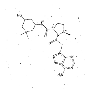 C[C@@H]1CC[C@@H](C(=O)NC2CC(O)CC(C)(C)C2)N1C(=O)Cn1cnc2c(N)ncnc21